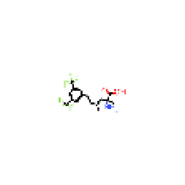 CC(CCc1cc(C(F)(F)F)cc(C(F)(F)F)c1)CC(C)(N)C(=O)O